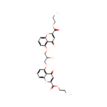 COCCOC(=O)c1cc(=O)c2c(OCC(O)COc3cccc4oc(C(=O)OCCOC)cc(=O)c34)cccc2o1